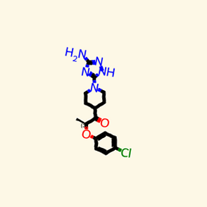 C[C@H](Oc1ccc(Cl)cc1)C(=O)C1CCN(c2nc(N)n[nH]2)CC1